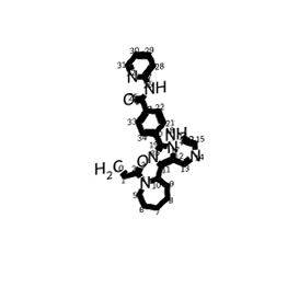 C=CC(=O)N1CCCCCC1C1=C2C=NC=C[N+]2(N)C(c2ccc(C(=O)Nc3ccccn3)cc2)=N1